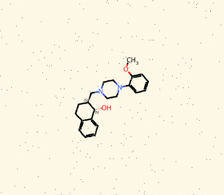 COc1ccccc1N1CCN(C[C@@H]2CCc3ccccc3[C@H]2O)CC1